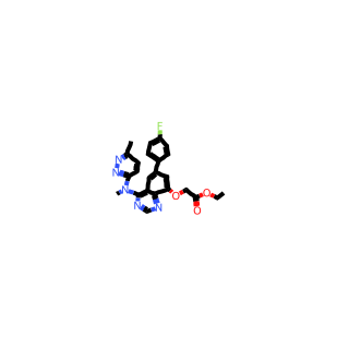 CCOC(=O)COc1cc(-c2ccc(F)cc2)cc2c(N(C)c3ccc(C)nn3)ncnc12